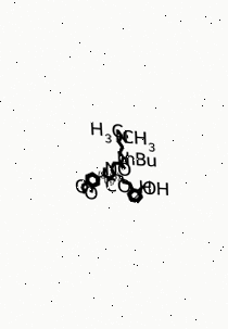 CCCCN(CCCN(C)C)C(=O)CN1C[C@H](c2ccc3c(c2)OCO3)[C@@H](C(=O)O)[C@@H]1CCCc1ccccc1CO